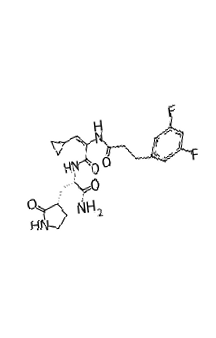 NC(=O)[C@H](C[C@@H]1CCNC1=O)NC(=O)C(=CC1CC1)NC(=O)CCc1cc(F)cc(F)c1